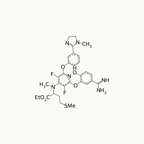 CCOC(=O)C(CCSC)N(C)c1c(F)c(Oc2cccc(C3=NCCN3C)c2)nc(Oc2cc(C(=N)N)ccc2O)c1F